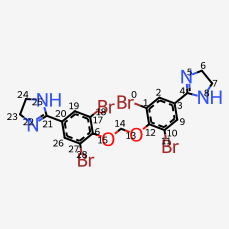 Brc1cc(C2=NCCN2)cc(Br)c1OCOc1c(Br)cc(C2=NCCN2)cc1Br